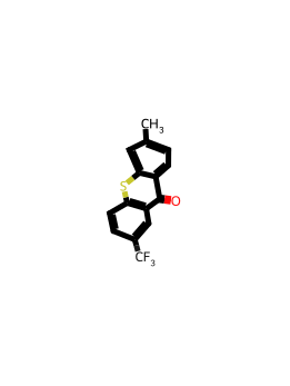 Cc1ccc2c(=O)c3cc(C(F)(F)F)ccc3sc2c1